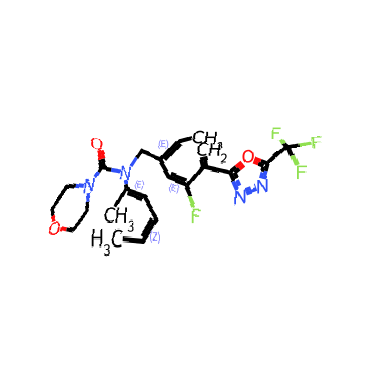 C=C(/C(F)=C\C(=C/C)CN(C(=O)N1CCOCC1)/C(C)=C/C=C\C)c1nnc(C(F)(F)F)o1